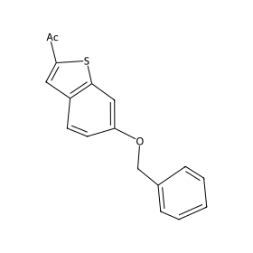 CC(=O)c1cc2ccc(OCc3ccccc3)cc2s1